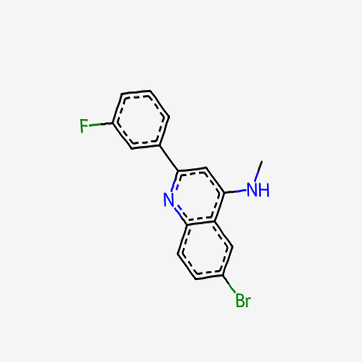 CNc1cc(-c2cccc(F)c2)nc2ccc(Br)cc12